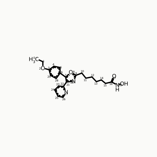 CCOc1ccc(-c2oc(CCCCCCC(=O)NO)nc2-c2ccccn2)cc1